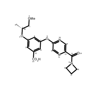 COC[C@@H](C)Oc1cc(Oc2cnc(C(=O)N3CCC3)cn2)cc(C(=O)O)c1